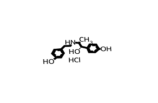 CC(NCCc1ccc(O)cc1)[C@@H](O)c1ccc(O)cc1.Cl